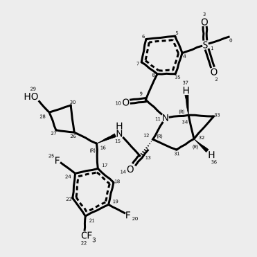 CS(=O)(=O)c1cccc(C(=O)N2[C@@H](C(=O)N[C@@H](c3cc(F)c(C(F)(F)F)cc3F)C3CC(O)C3)C[C@H]3C[C@H]32)c1